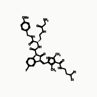 CCN(CC)CCNC(=O)c1c(C)[nH]c(/C=C2\C(=O)N(C(=O)N[C@@H](CCNC(=O)CN)C(=O)NCc3ccc(OC)cc3)c3ccc(F)cc32)c1C